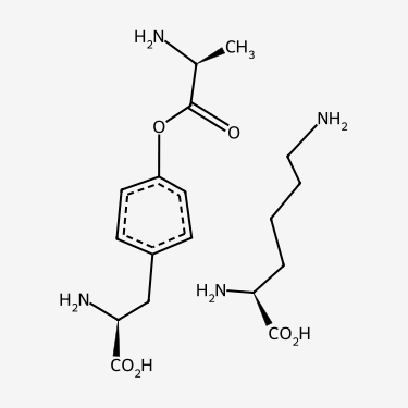 C[C@H](N)C(=O)Oc1ccc(C[C@H](N)C(=O)O)cc1.NCCCC[C@H](N)C(=O)O